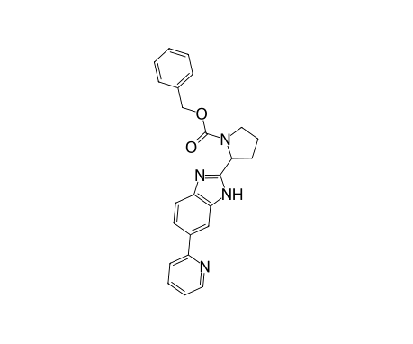 O=C(OCc1ccccc1)N1CCCC1c1nc2ccc(-c3ccccn3)cc2[nH]1